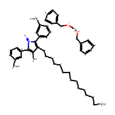 CCCCCCCCCCCCCCCCCCCCCCCCC1=C(c2cccc(CCCCC)c2)[N+](=[N-])C(c2cccc(CCCCC)c2)=C1CCCC.c1ccc(C[O][Pd][O]Cc2ccccc2)cc1